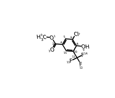 COC(=O)c1cc(Cl)c(O)c(C(F)(F)F)c1